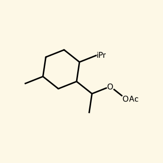 CC(=O)OOC(C)C1CC(C)CCC1C(C)C